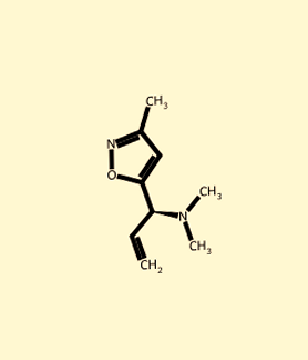 C=C[C@@H](c1cc(C)no1)N(C)C